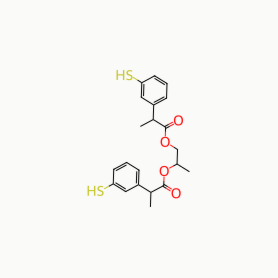 CC(COC(=O)C(C)c1cccc(S)c1)OC(=O)C(C)c1cccc(S)c1